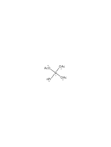 [CH2]CC[Si](OC(C)=O)(OC(C)=O)OC(C)=O